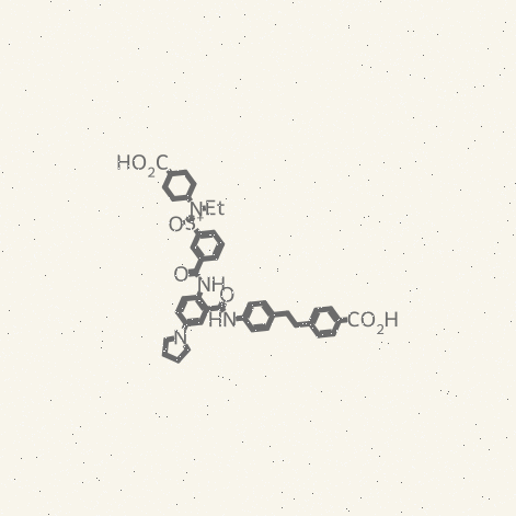 CCN(C1CCC(C(=O)O)CC1)[S+]([O-])c1cccc(C(=O)Nc2ccc(N3CCCC3)cc2C(=O)Nc2ccc(CCc3ccc(C(=O)O)cc3)cc2)c1